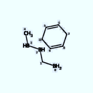 BCBBC.C1=CCC=CC1